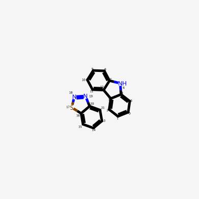 c1ccc2c(c1)[nH]c1ccccc12.c1ccc2snnc2c1